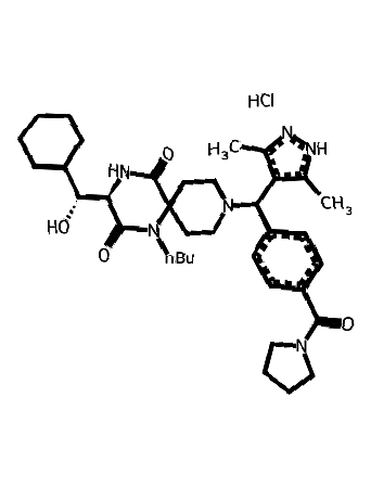 CCCCN1C(=O)[C@@H]([C@H](O)C2CCCCC2)NC(=O)C12CCN(C(c1ccc(C(=O)N3CCCC3)cc1)c1c(C)n[nH]c1C)CC2.Cl